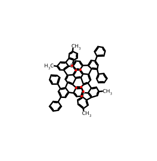 Cc1ccc2c(c1)-c1cc(C)cc3c1B2c1cc2c(-c4c(-c5ccccc5)cc(-c5ccccc5)cc4-c4ccccc4)cc4c5c(cc6c(-c7c(-c8ccccc8)cc(-c8ccccc8)cc7-c7ccccc7)cc-3c1c6c25)B1c2ccc(C)cc2-c2cc(C)cc-4c21